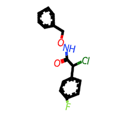 O=C(NOCc1ccccc1)C(Cl)c1ccc(F)cc1